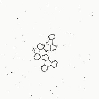 c1ccc2c(c1)oc1c(N(c3ccc4c5ccccc5c5ccccc5c4c3)c3nccc4oc5ccccc5c34)ccnc12